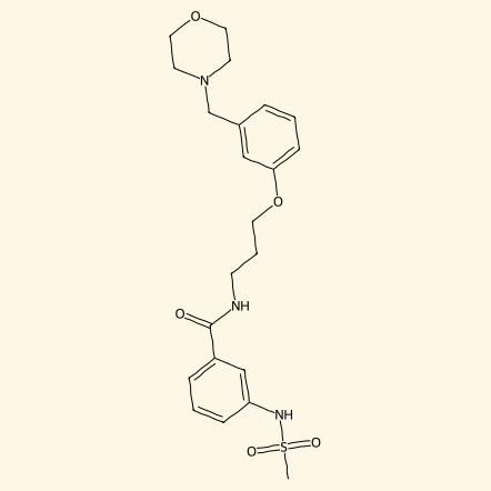 CS(=O)(=O)Nc1cccc(C(=O)NCCCOc2cccc(CN3CCOCC3)c2)c1